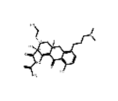 CN(C)CCCc1ccc(O)c2c1C[C@H]1C[C@@H](CCO)[C@@](O)(C(=O)CC(N)=O)C(O)=C1C2=O